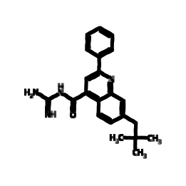 CC(C)(C)Cc1ccc2c(C(=O)NC(=N)N)cc(-c3ccccc3)nc2c1